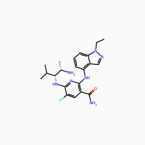 CCn1ncc2c(Nc3nc(N[C@H](C(C)C)[C@H](C)N)c(F)cc3C(N)=O)cccc21